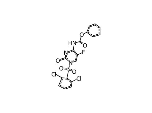 O=C(Nc1nc(=O)n(S(=O)(=O)c2c(Cl)cccc2Cl)cc1F)Oc1ccccc1